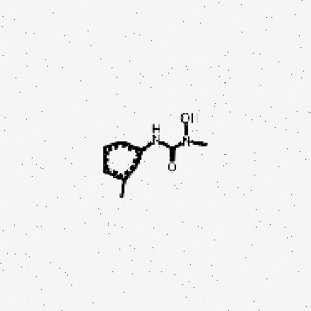 Cc1cccc(NC(=O)N(C)O)c1